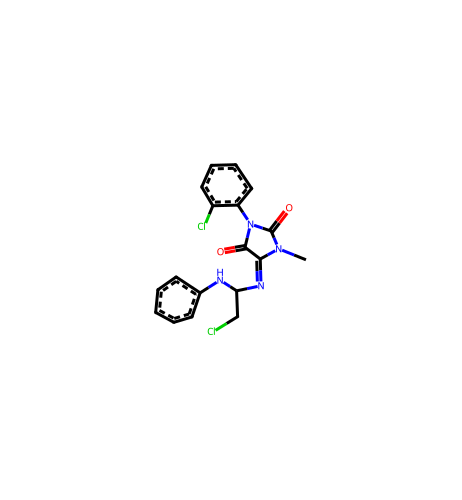 CN1C(=O)N(c2ccccc2Cl)C(=O)/C1=N\C(CCl)Nc1ccccc1